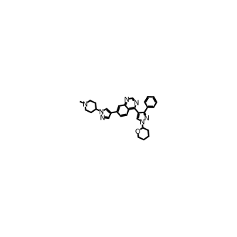 CN1CCC(n2cc(-c3ccc4c(-c5cn(C6CCCCO6)nc5-c5ccccc5)ncnc4c3)cn2)CC1